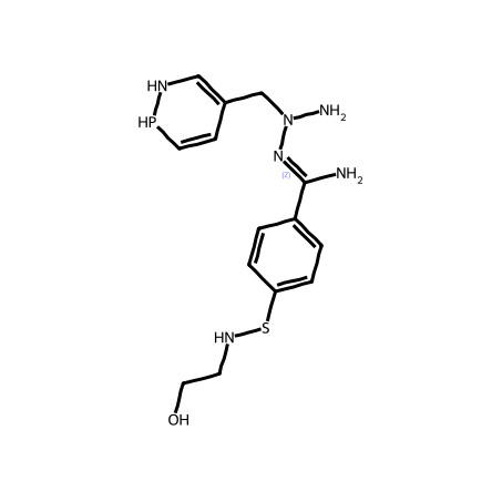 N/C(=N\N(N)CC1=CNPC=C1)c1ccc(SNCCO)cc1